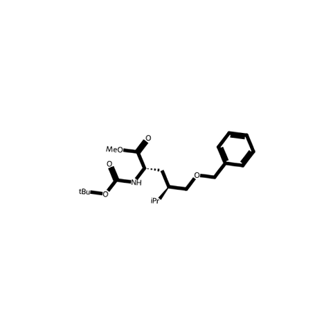 COC(=O)[C@H](C[C@@H](COCc1ccccc1)C(C)C)NC(=O)OC(C)(C)C